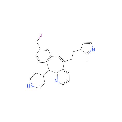 CC1=NC=CC1CCC1=Cc2cc(CI)ccc2C(C2CCNCC2)c2ncccc21